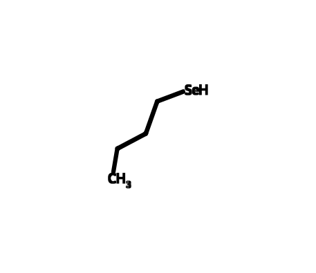 CCCC[SeH]